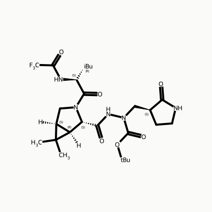 CC[C@@H](C)[C@H](NC(=O)C(F)(F)F)C(=O)N1C[C@H]2[C@@H]([C@H]1C(=O)NN(C[C@@H]1CCNC1=O)C(=O)OC(C)(C)C)C2(C)C